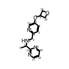 CC(NCc1ccc(OC2COC2)cn1)c1ncccn1